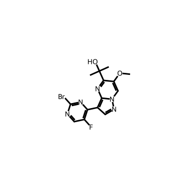 COc1cn2ncc(-c3nc(Br)ncc3F)c2nc1C(C)(C)O